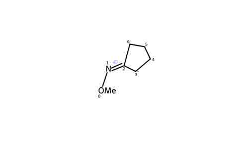 CO/N=C1\[CH]CCC1